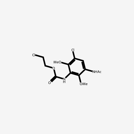 COc1c(Cl)cc(NC(C)=O)c(OC)c1NC(=O)OCCCl